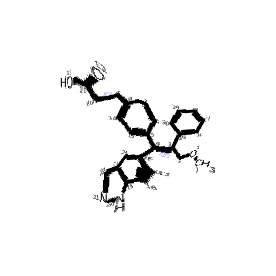 COC/C(=C(/c1ccc(/C=C/C(=O)O)cc1)c1ccc2[nH]ncc2c1)c1ccccc1